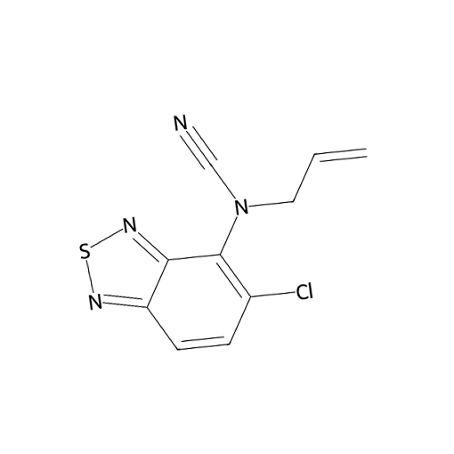 C=CCN(C#N)c1c(Cl)ccc2nsnc12